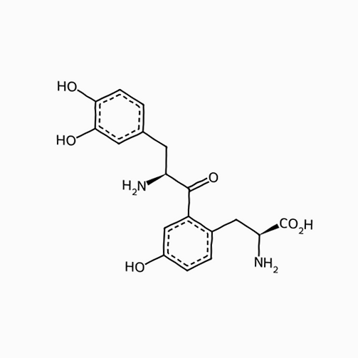 N[C@@H](Cc1ccc(O)cc1C(=O)[C@@H](N)Cc1ccc(O)c(O)c1)C(=O)O